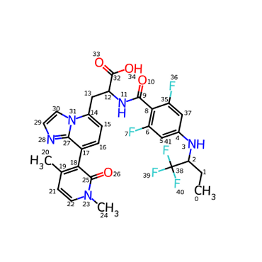 CCC(Nc1cc(F)c(C(=O)NC(Cc2ccc(-c3c(C)ccn(C)c3=O)c3nccn23)C(=O)O)c(F)c1)C(F)(F)F